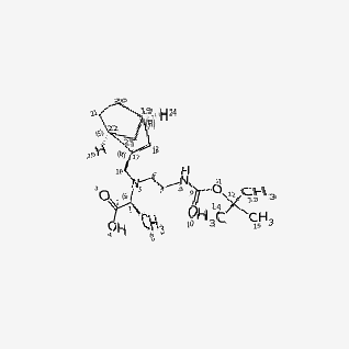 C[C@@H](C(=O)O)N(CCNC(=O)OC(C)(C)C)C[C@@H]1C[C@@H]2CC[C@H]1C2